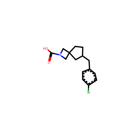 O=C(O)N1CC2(CCC(Cc3ccc(Br)cc3)C2)C1